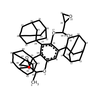 CC(Oc1cc(C23CC4CC(CC(C4)C2)C3)c(OC(C)C2CO2)c(C23CC4CC(CC(C4)C2)C3)c1C12CC3CC(CC(C3)C1)C2)C1CO1